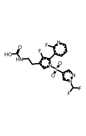 O=C(O)NCCc1cn(S(=O)(=O)c2cnn(C(F)F)c2)c(-c2cccnc2F)c1F